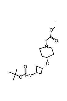 CCOC(=O)CN1CCC(O[C@H]2C[C@H](NC(=O)OC(C)(C)C)C2)CC1